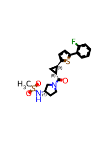 CS(=O)(=O)N[C@H]1CCN(C(=O)[C@@H]2C[C@H]2c2ccc(-c3ccccc3F)s2)C1